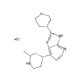 CC1CC(c2ccnc3[nH]c(C4CCOCC4)nc23)CCN1.Cl